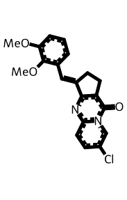 COc1cccc(C=C2CCc3c2nc2ccc(Cl)cn2c3=O)c1OC